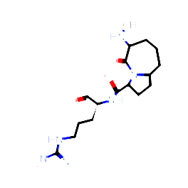 CNC1CCCC2CCC(C(=O)N[C@H](C=O)CCCNC(=N)N)N2C1=O